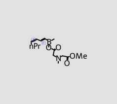 CCC/C=C\C=C\B(C)OC(=O)CN(C)CC(=O)OC